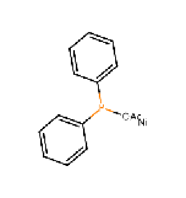 CC(=O)OP(c1ccccc1)c1ccccc1.[Ni]